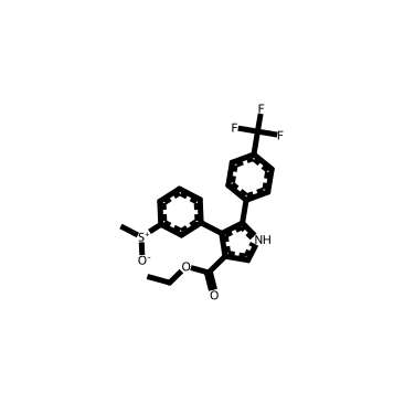 CCOC(=O)c1c[nH]c(-c2ccc(C(F)(F)F)cc2)c1-c1cccc([S+](C)[O-])c1